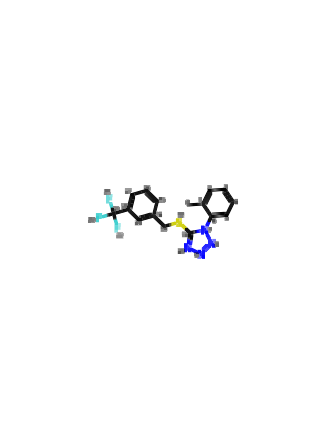 Cc1ccccc1-n1nnnc1SCc1cccc(C(F)(F)F)c1